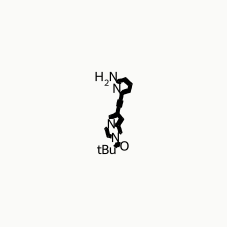 CC(C)(C)C(=O)N1CCn2cc(C#Cc3cccc(N)n3)cc2C1